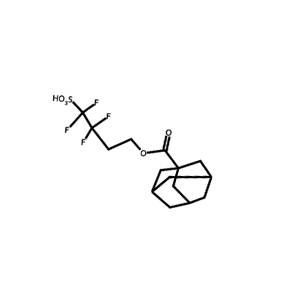 O=C(OCCC(F)(F)C(F)(F)S(=O)(=O)O)C12CC3CC(CC(C3)C1)C2